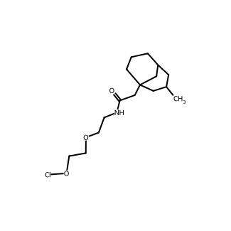 CC1CC2CCCC(CC(=O)NCCOCCOCl)(C1)C2